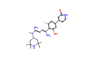 CN(/C(N)=C/C=C(\N)c1c(O)cc(-c2cc[nH]c(=O)c2)cc1F)C1CC(C)(C)NC(C)(C)C1